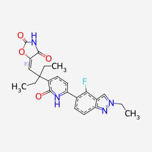 CCn1cc2c(F)c(-c3ccc(C(/C=C4/OC(=O)NC4=O)(CC)CC)c(=O)[nH]3)ccc2n1